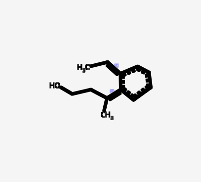 C/C=c1/cccc/c1=C(\C)CCO